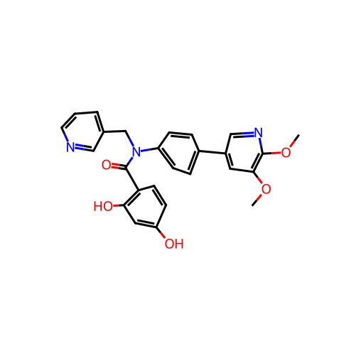 COc1cc(-c2ccc(N(Cc3cccnc3)C(=O)c3ccc(O)cc3O)cc2)cnc1OC